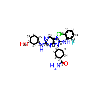 NC(=O)[C@H]1CC[C@H](n2c(Nc3c(F)cccc3Cl)nc3cnc(N[C@@H]4CCC[C@@H](O)C4)nc32)CC1